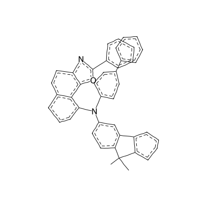 CC1(C)c2ccccc2-c2cc(N(c3ccc(-c4ccccc4)cc3)c3cccc4ccc5nc(-c6ccccc6)oc5c34)ccc21